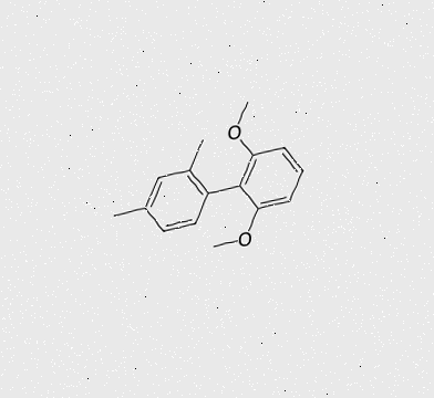 COc1cccc(OC)c1-c1ccc(C)cc1C